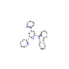 c1ccc(-c2cc(-c3ccccn3)nc(-n3c4ccccc4c4ccccc43)c2)nc1